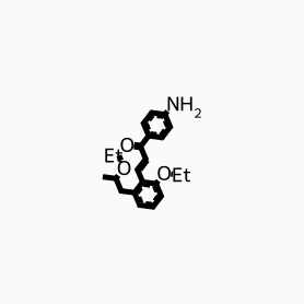 CCOc1cccc(CC(C)OCC)c1C=CC(=O)c1ccc(N)cc1